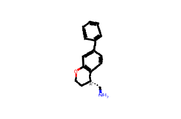 NC[C@@H]1CCOc2cc(-c3ccccc3)ccc21